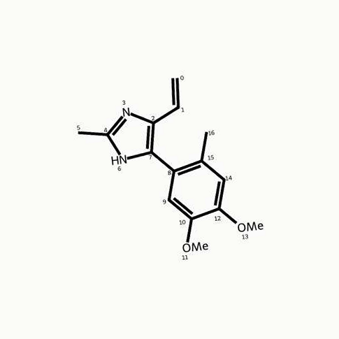 C=Cc1nc(C)[nH]c1-c1cc(OC)c(OC)cc1C